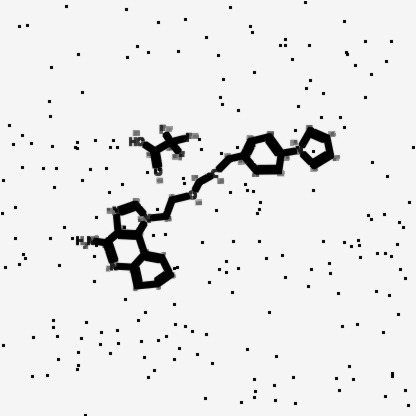 Nc1nc2ccccc2c2c1ncn2CCOCCCc1ccc(-n2cccc2)cc1.O=C(O)C(F)(F)F